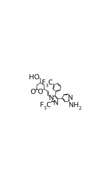 Nc1cc(-c2nc(C(F)(F)F)n(/C=C/C3CC(CO)CC(=O)O3)c2-c2cccc(C(F)(F)F)c2)ccn1